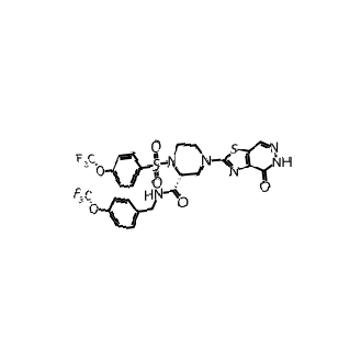 O=C(NCc1ccc(OC(F)(F)F)cc1)[C@H]1CN(c2nc3c(=O)[nH]ncc3s2)CCN1S(=O)(=O)c1ccc(OC(F)(F)F)cc1